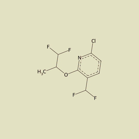 CC(Oc1nc(Cl)ccc1C(F)F)C(F)F